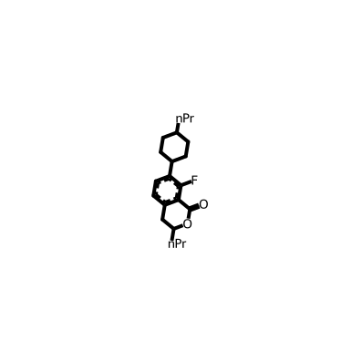 CCCC1CCC(c2ccc3c(c2F)C(=O)OC(CCC)C3)CC1